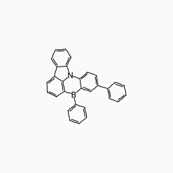 c1ccc(B2c3cc(-c4ccccc4)ccc3-n3c4ccccc4c4cccc2c43)cc1